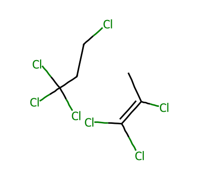 CC(Cl)=C(Cl)Cl.ClCCC(Cl)(Cl)Cl